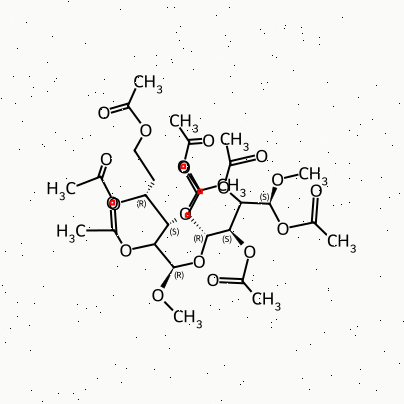 CO[C@H](O[C@H](CCOC(C)=O)[C@H](OC(C)=O)C(OC(C)=O)[C@@H](OC)OC(C)=O)C(OC(C)=O)[C@@H](OC(C)=O)[C@@H](CCOC(C)=O)OC(C)=O